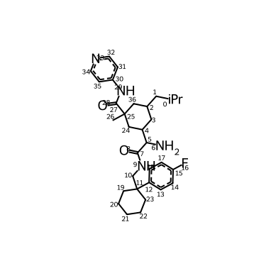 CC(C)CC1CC(C(N)C(=O)NCC2(c3ccc(F)cc3)CCCCC2)CC(C)(C(=O)Nc2ccncc2)C1